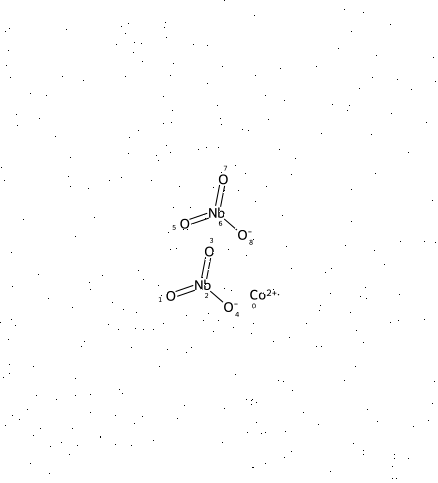 [Co+2].[O]=[Nb](=[O])[O-].[O]=[Nb](=[O])[O-]